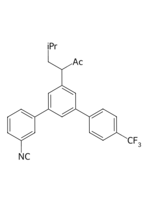 [C-]#[N+]c1cccc(-c2cc(-c3ccc(C(F)(F)F)cc3)cc(C(CC(C)C)C(C)=O)c2)c1